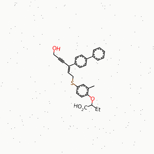 CCC(Oc1ccc(SCC=C(C#CCO)c2ccc(-c3ccccc3)cc2)cc1C)C(=O)O